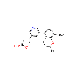 CCC1CCc2c(-c3cncc(C4COB(O)C4)c3)ccc(OC)c2O1